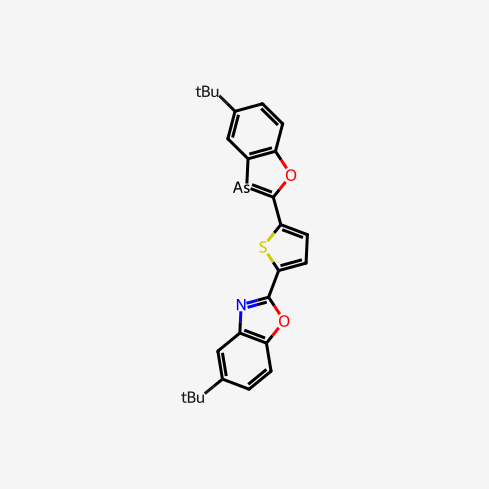 CC(C)(C)c1ccc2c(c1)[As]=C(c1ccc(-c3nc4cc(C(C)(C)C)ccc4o3)s1)O2